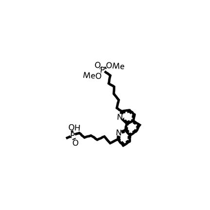 COP(=O)(CCCCCCc1ccc2ccc3ccc(CCCCCCP(C)(=O)O)nc3c2n1)OC